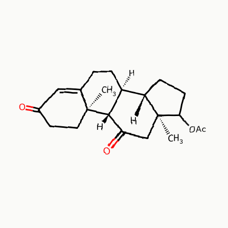 CC(=O)OC1CC[C@H]2[C@@H]3CCC4=CC(=O)CC[C@]4(C)[C@H]3C(=O)C[C@]12C